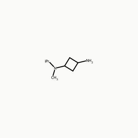 CC(C)N(C)C1CC(N)C1